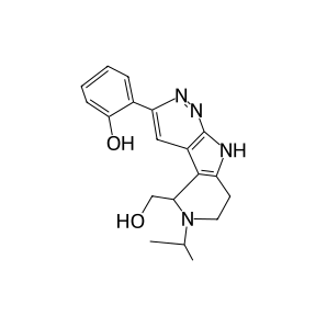 CC(C)N1CCc2[nH]c3nnc(-c4ccccc4O)cc3c2C1CO